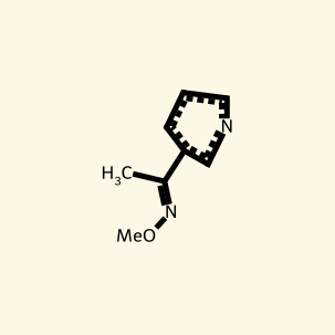 CON=C(C)c1cccnc1